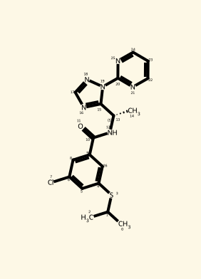 CC(C)Sc1cc(Cl)cc(C(=O)N[C@@H](C)c2ncnn2-c2ncccn2)c1